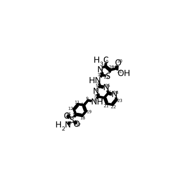 Cc1nc(Nc2nc(NCc3ccc(S(N)(=O)=O)cc3)c3cccnc3n2)sc1C(=O)O